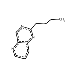 CCCCc1ncc2ncccc2n1